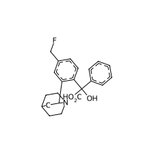 O=C(O)C(O)(c1ccccc1)c1ccc(CF)cc1C1CC2CCN1CC2